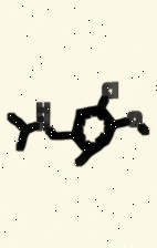 COc1cc(C)c(CNC(C)C)cc1Cl